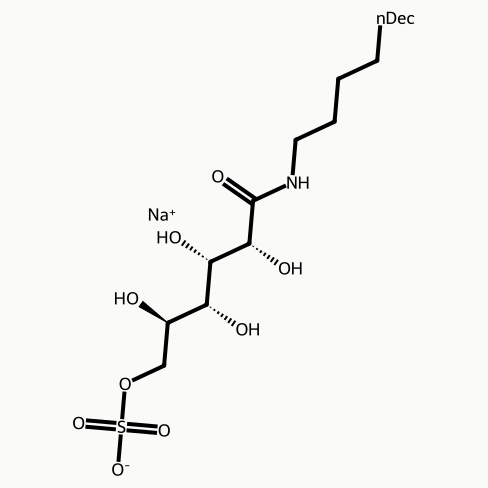 CCCCCCCCCCCCCCNC(=O)[C@H](O)[C@@H](O)[C@H](O)[C@H](O)COS(=O)(=O)[O-].[Na+]